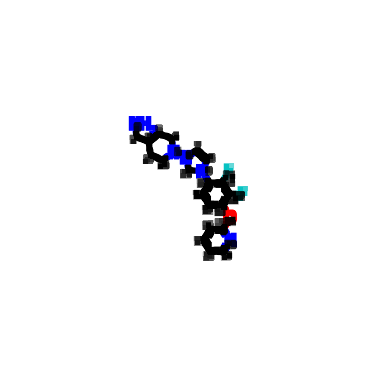 NCC1CCN(N2C=CN(c3ccc(Oc4ccccn4)c(F)c3F)C2)CC1